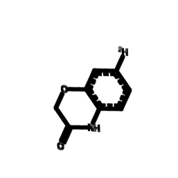 [2H]c1ccc2c(c1)OCC(=O)N2